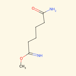 COC(=N)CCCCC(N)=O